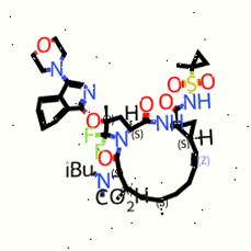 CCC(C)N(C(=O)O)[C@@H]1C(=O)N2[C@@H](C[C@@](C)(Oc3ncc(N4CCOCC4)c4ccccc34)C2(F)F)C(=O)N[C@]2(C(=O)NS(=O)(=O)C3(C)CC3)C[C@H]2/C=C\CC[C@H](C)C[C@H]1C